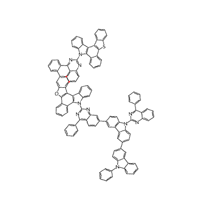 c1ccc(-c2nc(-n3c4ccc(-c5ccc6c(-c7ccccc7)nc(-n7c8ccccc8c8c9c%10ccc(-c%11ccccc%11-c%11nc(-n%12c%13ccccc%13c%13c%14c%15ccccc%15sc%14c%14ccccc%14c%13%12)nc%12ccccc%11%12)cc%10oc9c9ccccc9c87)nc6c5)cc4c4cc(-c5ccc6c(c5)c5ccccc5n6-c5ccccc5)ccc43)nc3ccccc23)cc1